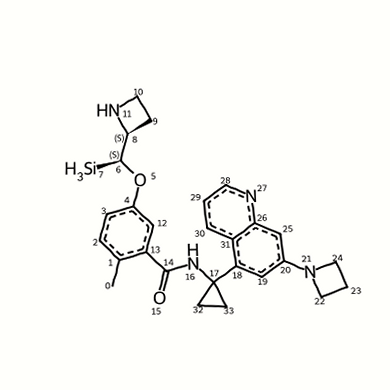 Cc1ccc(O[C@@H]([SiH3])[C@@H]2CCN2)cc1C(=O)NC1(c2cc(N3CCC3)cc3ncccc23)CC1